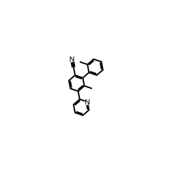 Cc1ccccc1-c1c(C#N)ccc(-c2ccccn2)c1C